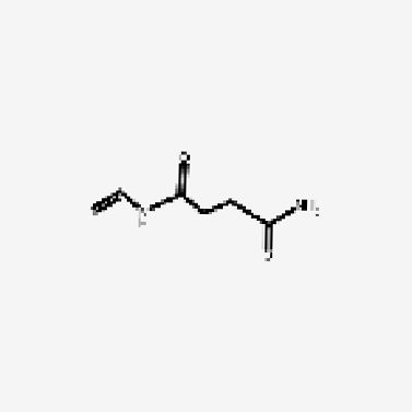 C=CNC(=O)CCC(N)=O